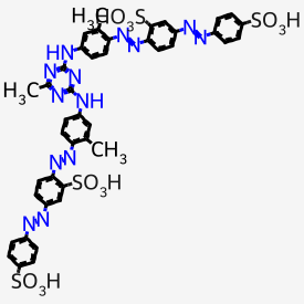 Cc1nc(Nc2ccc(N=Nc3ccc(N=Nc4ccc(S(=O)(=O)O)cc4)cc3S(=O)(=O)O)c(C)c2)nc(Nc2ccc(N=Nc3ccc(N=Nc4ccc(S(=O)(=O)O)cc4)cc3S(=O)(=O)O)c(C)c2)n1